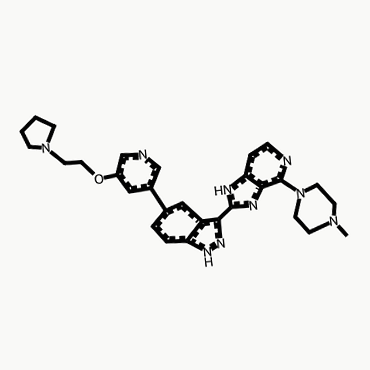 CN1CCN(c2nccc3[nH]c(-c4n[nH]c5ccc(-c6cncc(OCCN7CCCC7)c6)cc45)nc23)CC1